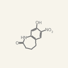 O=C1CCCc2cc([N+](=O)[O-])c(O)cc2N1